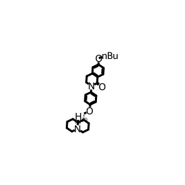 CCCCOc1ccc2c(c1)CCN(c1ccc(OC[C@@H]3CCCN4CCCC[C@H]34)cc1)C2=O